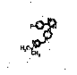 CC(C)n1cc(CN2CCN(c3nccnc3-c3ccc(F)cc3)CC2)cn1